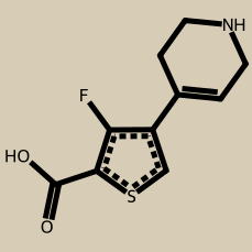 O=C(O)c1scc(C2=CCNCC2)c1F